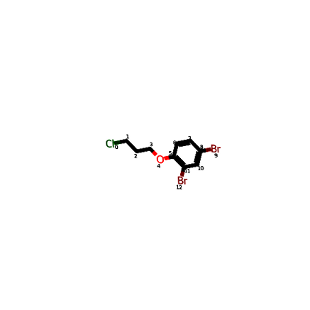 ClCCCOc1ccc(Br)cc1Br